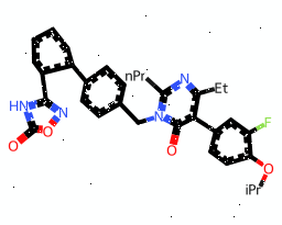 CCCc1nc(CC)c(-c2ccc(OC(C)C)c(F)c2)c(=O)n1Cc1ccc(-c2ccccc2-c2noc(=O)[nH]2)cc1